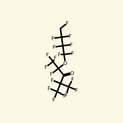 O=C(C(F)(OC(F)(F)C(F)(F)C(F)(F)CF)C(F)(F)F)C(F)(C(F)(F)F)C(F)(F)F